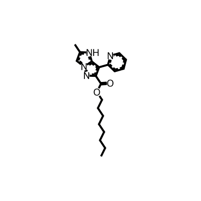 CCCCCCCCOC(=O)c1nn2cc(C)[nH]c2c1-c1ccccn1